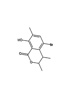 Cc1cc(Br)c2c(c1O)C(=O)OC(C)C2C